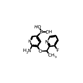 CC(Oc1cc(B(O)O)cnc1N)c1ncccc1F